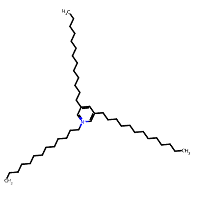 CCCCCCCCCCCCCc1cc(CCCCCCCCCCCCC)c[n+](CCCCCCCCCCCCC)c1